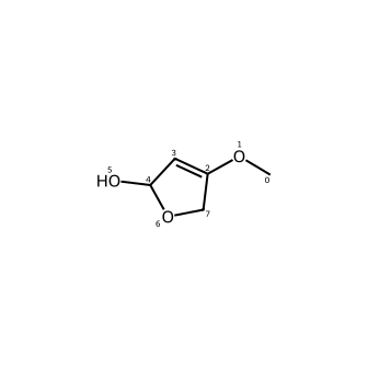 COC1=CC(O)OC1